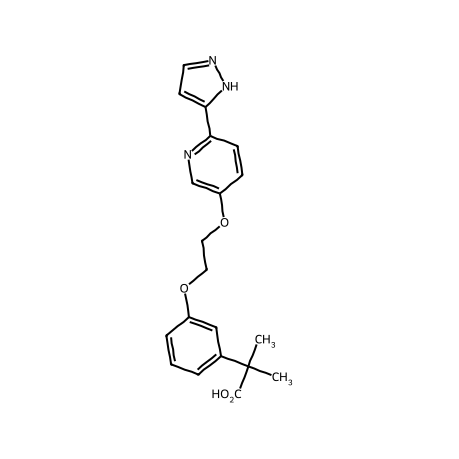 CC(C)(C(=O)O)c1cccc(OCCOc2ccc(-c3ccn[nH]3)nc2)c1